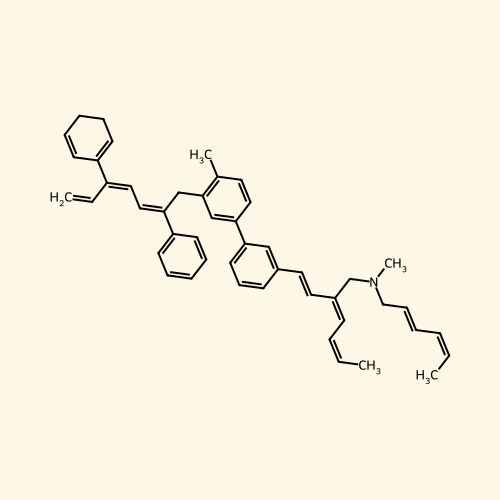 C=C/C(=C\C=C(/Cc1cc(-c2cccc(/C=C/C(=C\C=C/C)CN(C)C/C=C/C=C\C)c2)ccc1C)c1ccccc1)C1=CCCC=C1